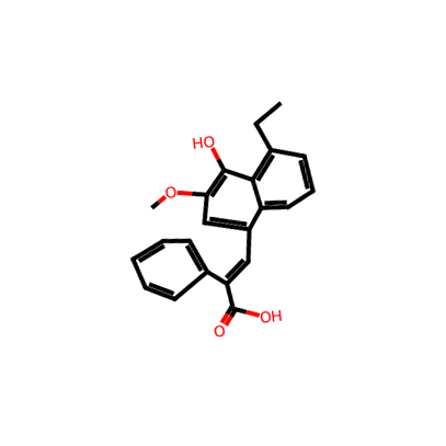 CCc1cccc2c(/C=C(/C(=O)O)c3ccccc3)cc(OC)c(O)c12